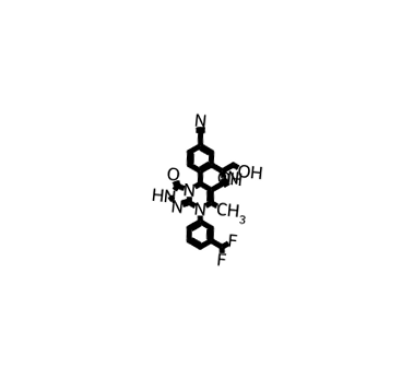 CC1=C(C#N)C(c2ccc(C#N)cc2C(O)CO)n2c(n[nH]c2=O)N1c1cccc(C(F)F)c1